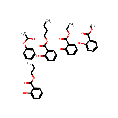 CC(O)Oc1ccccc1.CCCCOC(=O)c1ccccc1O.CCCOC(=O)c1ccccc1O.CCOC(=O)c1ccccc1O.COC(=O)c1ccccc1O